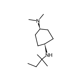 CCC(C)(C)N[C@H]1CC[C@@H](N(C)C)CC1